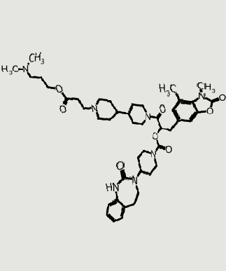 Cc1cc(C[C@@H](OC(=O)N2CCC(N3CCc4ccccc4NC3=O)CC2)C(=O)N2CCC(C3CCN(CCC(=O)OCCCN(C)C)CC3)CC2)cc2oc(=O)n(C)c12